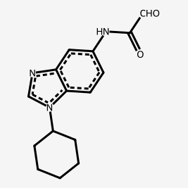 O=CC(=O)Nc1ccc2c(c1)ncn2C1CCCCC1